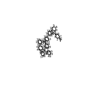 Fc1ccc(-n2c3ccccc3c3ccc(-c4ccc(N(c5ccccc5)c5ccc6c(c5)C(c5ccccc5)(c5ccccc5)c5ccccc5-6)cc4)cc32)cc1